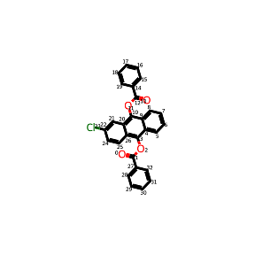 O=C(Oc1c2ccccc2c(OC(=O)c2ccccc2)c2cc(Cl)ccc12)c1ccccc1